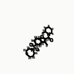 Cc1c(C(=O)N2CCCCC2C)oc2ccc(S(=O)(=O)N3CCCCCC3)cc12